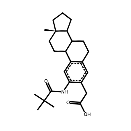 CC(C)(C)C(=O)Nc1cc2c(cc1CC(=O)O)CCC1C2CC[C@]2(C)CCCC12